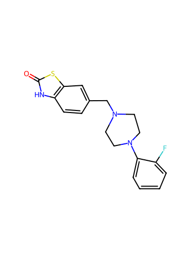 O=c1[nH]c2ccc(CN3CCN(c4ccccc4F)CC3)cc2s1